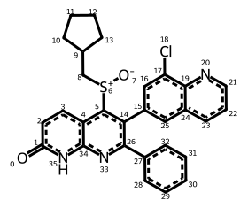 O=c1ccc2c([S+]([O-])CC3CCCC3)c(-c3cc(Cl)c4ncccc4c3)c(-c3ccccc3)nc2[nH]1